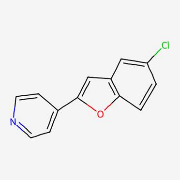 Clc1ccc2oc(-c3ccncc3)cc2c1